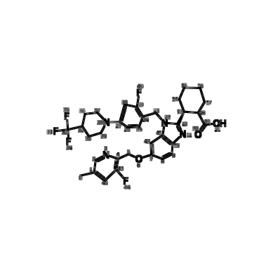 Cc1cnc(COc2ccc3nc([C@H]4CCCCC4C(=O)O)n(Cc4ccc(N5CCC(C(F)(F)F)CC5)cc4F)c3c2)c(F)c1